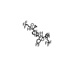 O=C(CCC(F)(F)F)N[C@H](c1ccn2cc([C@@H](NC(=O)c3cnnn3CCC(F)(F)F)C3CCC(F)(F)CC3)nc2n1)C1CC1